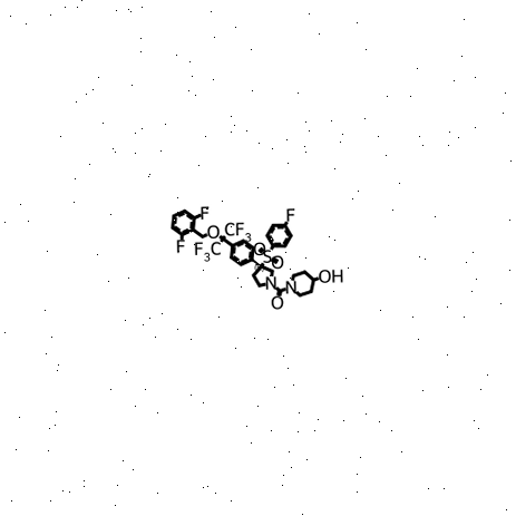 O=C(N1CCC(O)CC1)N1CC[C@](c2ccc(C(OCc3c(F)cccc3F)(C(F)(F)F)C(F)(F)F)cc2)(S(=O)(=O)c2ccc(F)cc2)C1